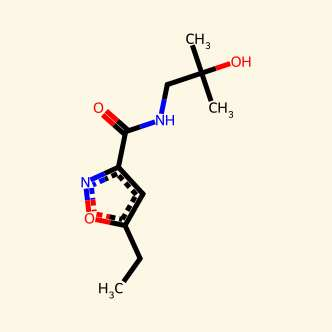 CCc1cc(C(=O)NCC(C)(C)O)no1